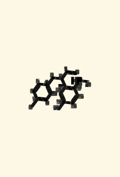 C=CC(Cc1ccc(C)cc1)c1cc(C)ccc1PC